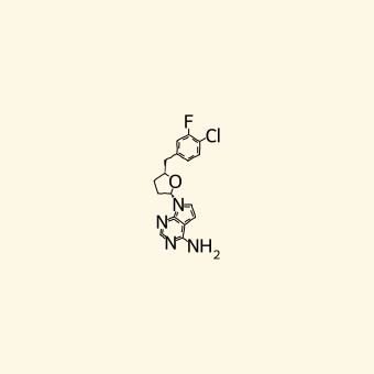 Nc1ncnc2c1ccn2[C@H]1CC[C@@H](Cc2ccc(Cl)c(F)c2)O1